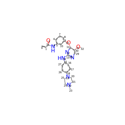 C=CC(=O)Nc1cccc(Oc2nc(Nc3ccc(N4CCN(C)CC4)cc3)ncc2OC)c1